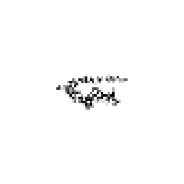 COCCOCCOCCOCCN1CCC(N(Cc2ccc(-c3cc4nccc(Oc5ccc(NC(=O)NC6CC6)cc5F)c4s3)nc2)C(C)=O)CC1